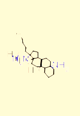 CC(C)CCC[C@@H](C)[C@@]1(N)CCC2C3=C(CCC21C)C1(C)CCCC[C@]1(N)CC3